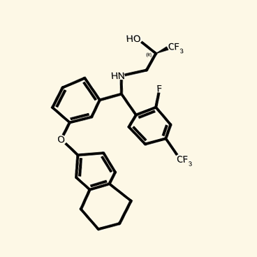 O[C@H](CNC(c1cccc(Oc2ccc3c(c2)CCCC3)c1)c1ccc(C(F)(F)F)cc1F)C(F)(F)F